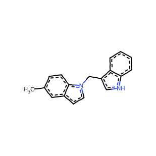 Cc1ccc2c(ccn2Cc2c[nH]c3ccccc23)c1